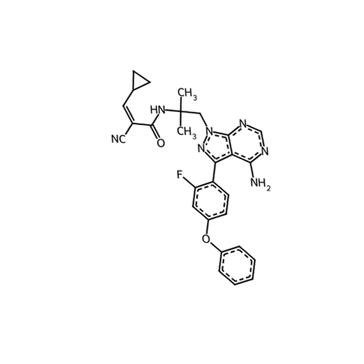 CC(C)(Cn1nc(-c2ccc(Oc3ccccc3)cc2F)c2c(N)ncnc21)NC(=O)/C(C#N)=C\C1CC1